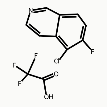 Fc1ccc2cnccc2c1Cl.O=C(O)C(F)(F)F